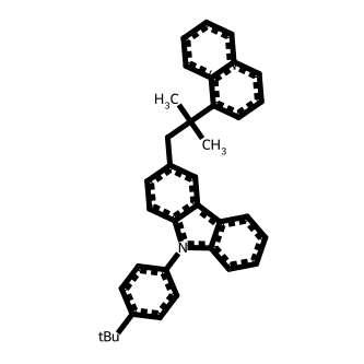 CC(C)(C)c1ccc(-n2c3ccccc3c3cc(CC(C)(C)c4cccc5ccccc45)ccc32)cc1